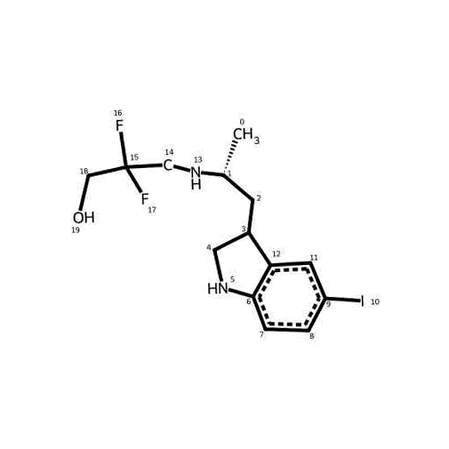 C[C@H](CC1CNc2ccc(I)cc21)NCC(F)(F)CO